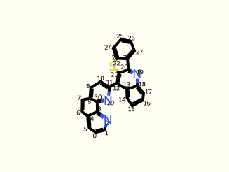 c1cnc2c(c1)ccc1ccc(-c3c4ccccc4nc4c3sc3ccccc34)nc12